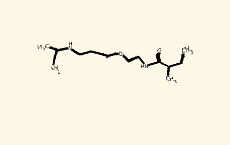 CCC(C)C(=O)NCCOCCCNC(C)C